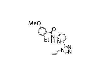 C=CCn1cnnc1-c1cccc(NC(=O)c2cc(OC)ccc2CC)n1